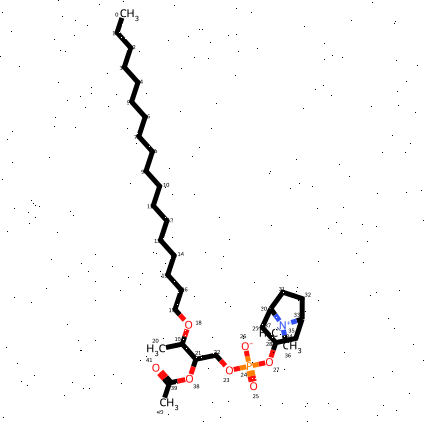 CCCCCCCCCCCCCCCCCCOC(C)C(COP(=O)([O-])OC1CC2CCC(C1)[N+]2(C)C)OC(C)=O